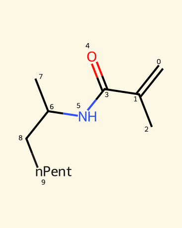 C=C(C)C(=O)NC(C)CCCCCC